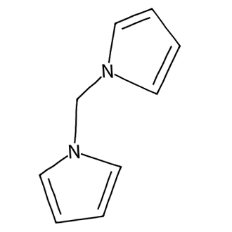 c1ccn(Cn2cccc2)c1